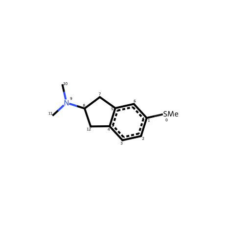 CSc1ccc2c(c1)CC(N(C)C)C2